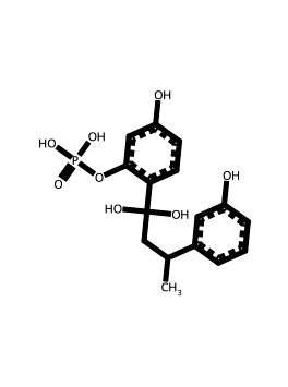 CC(CC(O)(O)c1ccc(O)cc1OP(=O)(O)O)c1cccc(O)c1